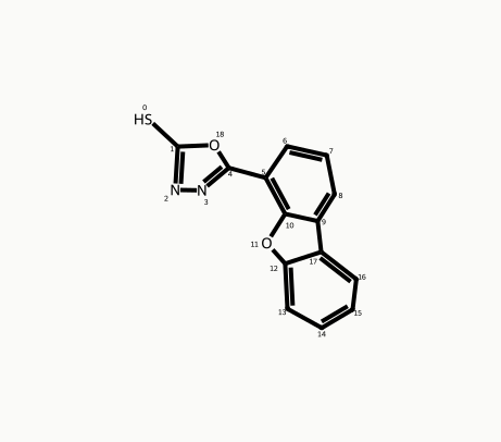 Sc1nnc(-c2cccc3c2oc2ccccc23)o1